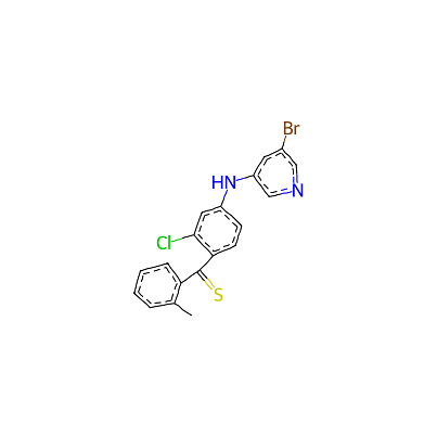 Cc1ccccc1C(=S)c1ccc(Nc2cncc(Br)c2)cc1Cl